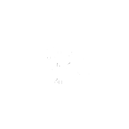 CC(C)(C)OC(=O)N1C[C@H](O)C[C@@H]1C(=O)c1cccs1